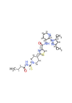 CCCC(=O)NC(=S)N1CCC(c2nc(C(=O)Nc3cccnc3-n3nc(C)cc3C)cs2)CC1